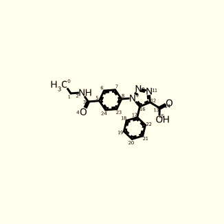 CCNC(=O)c1ccc(-n2nnc(C(=O)O)c2-c2ccccc2)cc1